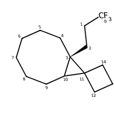 FC(F)(F)CC[C@]12CCCCCCC1C21CCC1